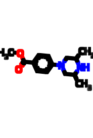 COC(=O)c1ccc(N2CC(C)NC(C)C2)cc1